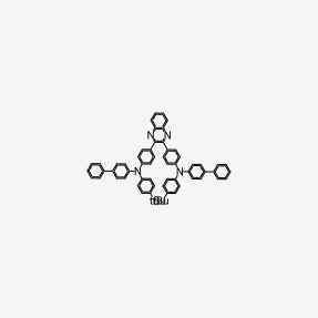 CC(C)(C)c1ccc(N(c2ccc(-c3ccccc3)cc2)c2ccc(-c3nc4ccccc4nc3-c3ccc(N(c4ccc(-c5ccccc5)cc4)c4ccc(C(C)(C)C)cc4)cc3)cc2)cc1